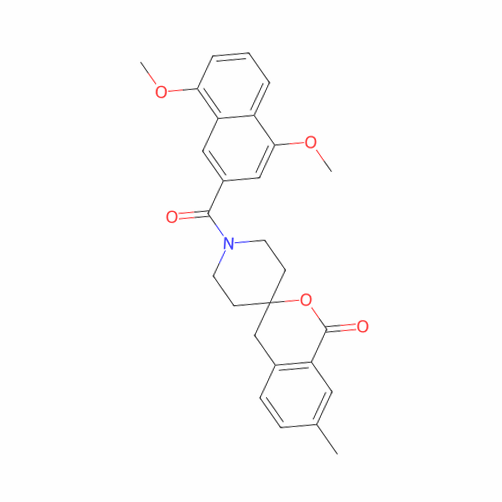 COc1cc(C(=O)N2CCC3(CC2)Cc2ccc(C)cc2C(=O)O3)cc2c(OC)cccc12